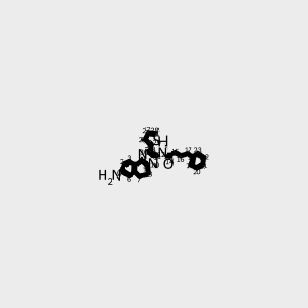 Nc1ccc2c(c1)CCc1nc(NC(=O)CCCc3ccccc3)c(C3CC=CS3)nc1-2